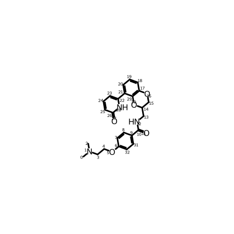 CN(C)CCOc1ccc(C(=O)NCC2COc3cccc(-c4cccc(=O)[nH]4)c3O2)cc1